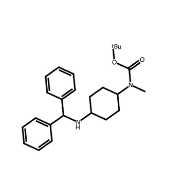 CN(C(=O)OC(C)(C)C)C1CCC(NC(c2ccccc2)c2ccccc2)CC1